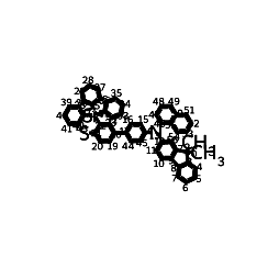 CC1(C)c2ccccc2-c2ccc(N(c3ccc(-c4ccc5c(c4)[Si](c4ccccc4)(c4ccccc4)c4ccccc4S5)cc3)c3cccc4ccccc34)cc21